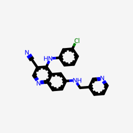 N#Cc1cnc2ccc(NCc3cccnc3)cc2c1Nc1cccc(Cl)c1